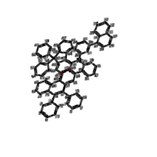 c1ccc(-c2c(-c3ccccc3)c3cc(-c4ccccc4N(c4cccc(-c5cccc6ccccc56)c4)c4cccc5c4-c4ccccc4C5(c4ccccc4)c4ccccc4)ccc3c3ccccc23)cc1